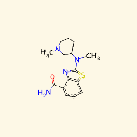 CN1CCCC(N(C)c2nc3c(C(N)=O)c[c]cc3s2)C1